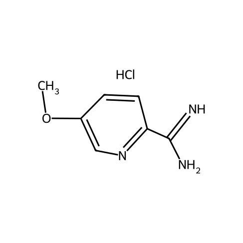 COc1ccc(C(=N)N)nc1.Cl